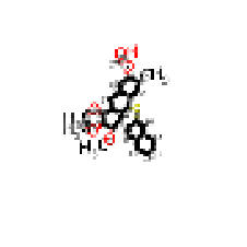 COc1cc2c(Sc3ccc4ccccc4c3)c3cc(C)c(OCO)cc3cc2c(OC)c1OC